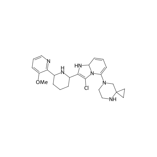 COc1cccnc1C1CCCC(C2=C(Cl)N3C(N4CCNC5(CC5)C4)=CC=CC3N2)N1